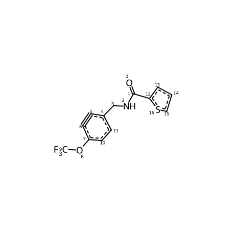 O=C(NCc1c#cc(OC(F)(F)F)cc1)c1cccs1